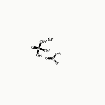 O=P(O)(O)O.O=[PH]([O-])O.[Na+]